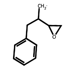 [CH2]C(Cc1ccccc1)C1CO1